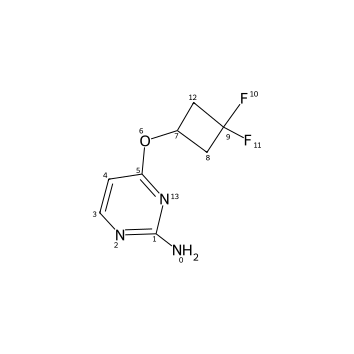 Nc1nccc(OC2CC(F)(F)C2)n1